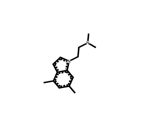 Cc1cc(C)c2ccn(CCN(C)C)c2c1